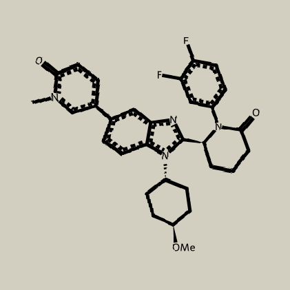 CO[C@H]1CC[C@H](n2c([C@@H]3CCCC(=O)N3c3ccc(F)c(F)c3)nc3cc(-c4ccc(=O)n(C)c4)ccc32)CC1